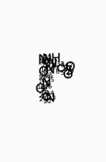 CS(=O)(=O)c1ccc(-c2nc(OC3CCN(CC(=O)c4cccnc4)CC3)c3cn[nH]c3n2)cc1